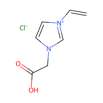 C=C[n+]1ccn(CC(=O)O)c1.[Cl-]